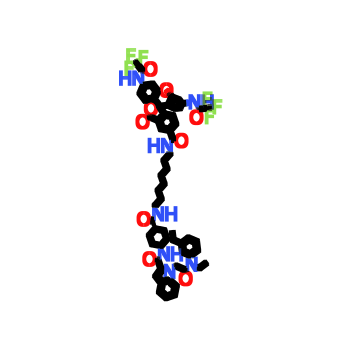 CCc1cccc(N(CC)C(=O)Cn2c(C(=O)N[C@H]3CC[C@H](C(=O)NCCCCCCCCNC(=O)c4ccc5c(c4)C(=O)OC54c5ccc(NC(=O)C(F)(F)F)cc5Oc5cc(NC(=O)C(F)(F)F)ccc54)CC3)cc3ccccc32)c1